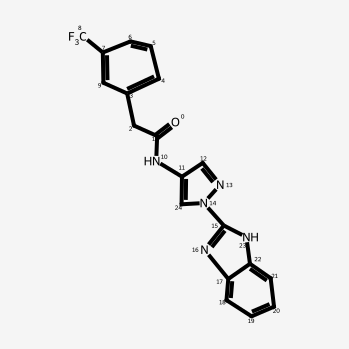 O=C(Cc1cccc(C(F)(F)F)c1)Nc1cnn(-c2nc3ccccc3[nH]2)c1